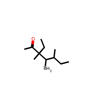 BC(C(C)CC)C(C)(CC)C(C)=O